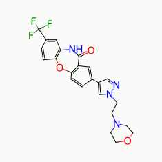 O=C1Nc2cc(C(F)(F)F)ccc2Oc2ccc(-c3cnn(CCN4CCOCC4)c3)cc21